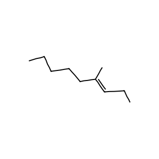 CC/C=C(\C)CCCCC